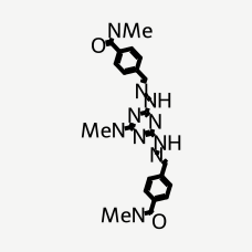 CNC(=O)c1ccc(/C=N/Nc2nc(NC)nc(N/N=C/c3ccc(C(=O)NC)cc3)n2)cc1